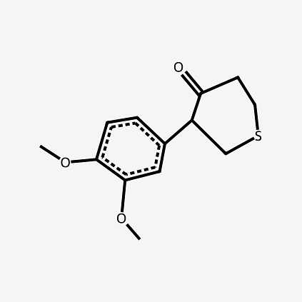 COc1ccc(C2CSCCC2=O)cc1OC